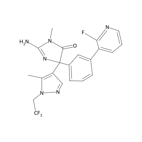 Cc1c(C2(c3cccc(-c4cccnc4F)c3)N=C(N)N(C)C2=O)cnn1CC(F)(F)F